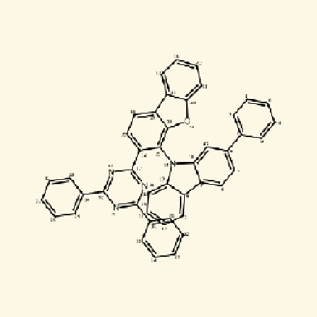 c1ccc(-c2ccc3c4ccccc4n(-c4c(-c5nc(-c6ccccc6)nc(-c6ccccc6)n5)ccc5c4oc4ccccc45)c3c2)cc1